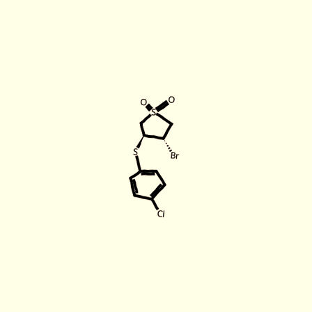 O=S1(=O)C[C@H](Sc2ccc(Cl)cc2)[C@@H](Br)C1